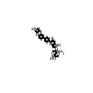 N[C@]12OC[C@@H](O)[C@H]1OC[C@H]2Oc1cc2nc(-c3ccc(-c4ccc(OC5CNC[C@H]5F)cc4)cc3)c(F)cc2[nH]1